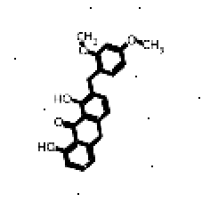 COc1ccc(Cc2ccc3c(c2O)C(=O)c2c(O)cccc2C3)c(OC)c1